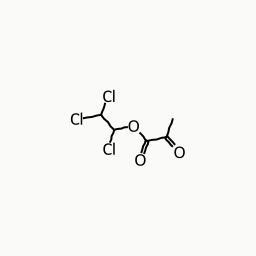 CC(=O)C(=O)OC(Cl)C(Cl)Cl